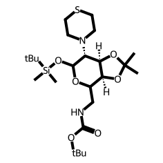 CC(C)(C)OC(=O)NCC1OC(O[Si](C)(C)C(C)(C)C)[C@H](N2CCSCC2)[C@H]2OC(C)(C)O[C@@H]12